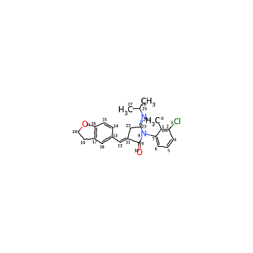 Cc1c(Cl)cccc1N1C(=O)/C(=C/c2ccc3c(c2)CCO3)C/C1=N\C(C)C